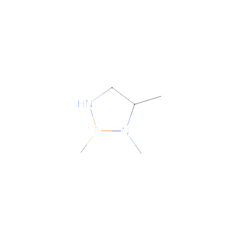 CC1CNP(C)N1C